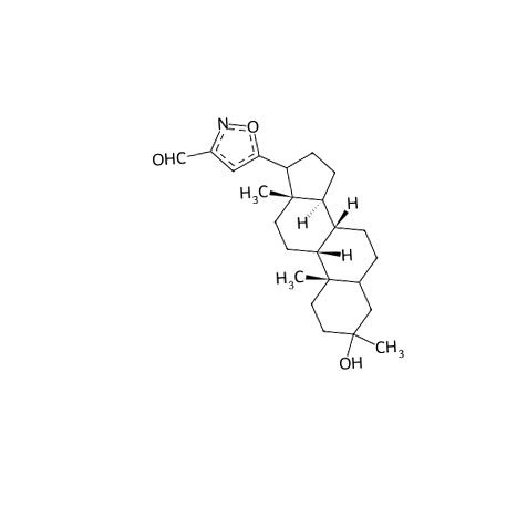 CC1(O)CC[C@@]2(C)C(CC[C@@H]3[C@H]2CC[C@]2(C)C(c4cc(C=O)no4)CC[C@@H]32)C1